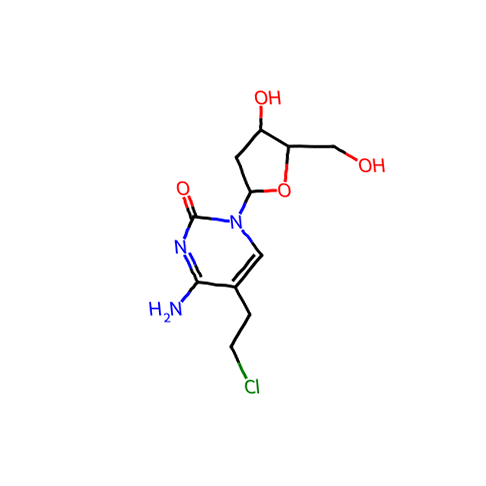 Nc1nc(=O)n(C2CC(O)C(CO)O2)cc1CCCl